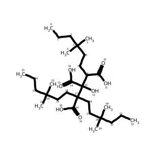 CCCC(C)(C)CCC(C(=O)O)C(O)(C(=O)O)C(CCC(C)(C)CCC)(CCC(C)(C)CCC)C(=O)O